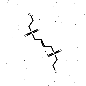 O=S(=O)(C/C=C/CS(=O)(=O)CCCl)CCCl